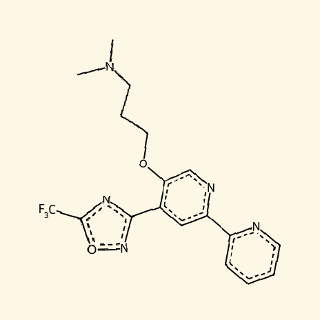 CN(C)CCCOc1cnc(-c2ccccn2)cc1-c1noc(C(F)(F)F)n1